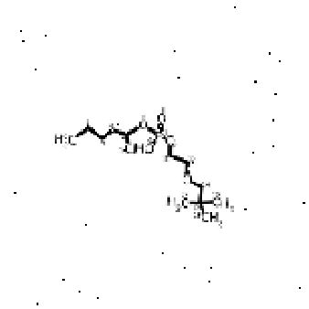 CCCCC(Cl)OP(=O)(O)OCCOCC(C)(C)C